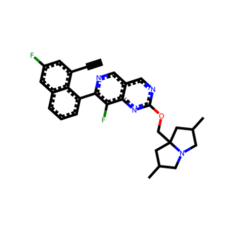 C#Cc1cc(F)cc2cccc(-c3ncc4cnc(OCC56CC(C)CN5CC(C)C6)nc4c3F)c12